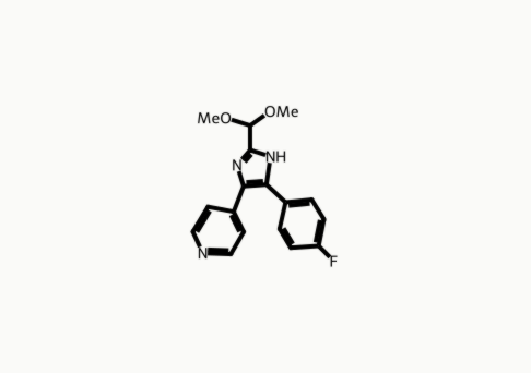 COC(OC)c1nc(-c2ccncc2)c(-c2ccc(F)cc2)[nH]1